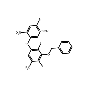 O=[N+]([O-])c1cc(Br)[n+]([O-])cc1Nc1cc(C(F)(F)F)c(F)c(OCc2ccccc2)c1F